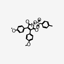 COc1ccc(C2=C(c3ccc(OC)cc3)C(=O)N(OS(=O)(=O)c3ccc(C)cc3)C2=O)cc1